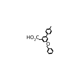 Cc1ccc(-c2cc(CC(=O)O)cc(OCc3ccccc3)c2)cc1